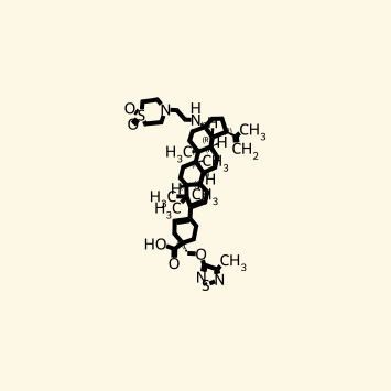 C=C(C)[C@@H]1CC[C@]2(NCCN3CCS(=O)(=O)CC3)CC[C@]3(C)[C@H](CC[C@@H]4[C@@]5(C)CC=C(C6=CC[C@](COc7nsnc7C)(C(=O)O)CC6)C(C)(C)[C@@H]5CC[C@]43C)[C@@H]12